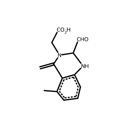 C=C1c2c(C)cccc2NC(C=O)N1CC(=O)O